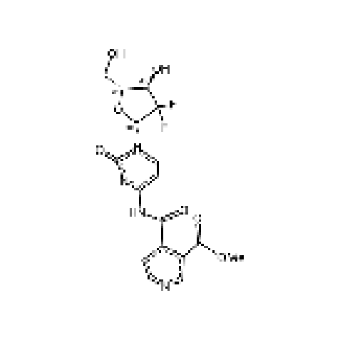 COC(=O)c1cnccc1C(=O)Nc1ccn([C@@H]2O[C@H](CO)[C@@H](O)C2(F)F)c(=O)n1